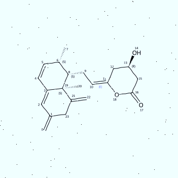 C=C1C=C2C=C[C@H](C)[C@H](C/C=C3\C[C@@H](O)CC(=O)O3)[C@@]2(C)C(=C)C1